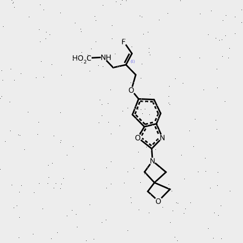 O=C(O)NC/C(=C\F)COc1ccc2nc(N3CC4(COC4)C3)oc2c1